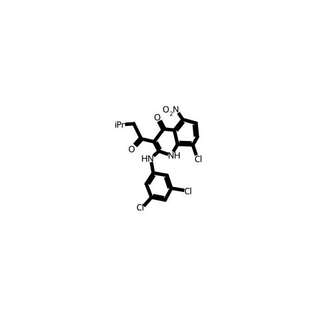 CC(C)CC(=O)c1c(Nc2cc(Cl)cc(Cl)c2)[nH]c2c(Cl)ccc([N+](=O)[O-])c2c1=O